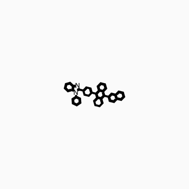 C1=C(c2c3c(c(-c4ccc5ccccc5c4)c4ccccc24)=CCCC=3)CCC(c2nc3ccccc3n2-c2ccccc2)=C1